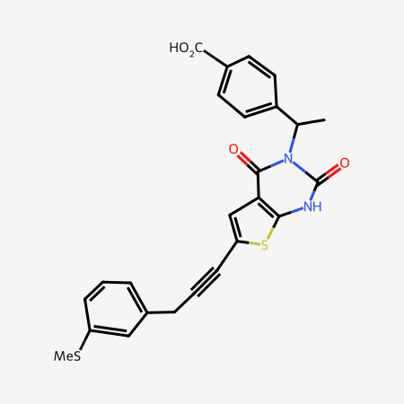 CSc1cccc(CC#Cc2cc3c(=O)n(C(C)c4ccc(C(=O)O)cc4)c(=O)[nH]c3s2)c1